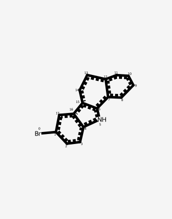 Brc1ccc2[nH]c3c4ccccc4ccc3c2c1